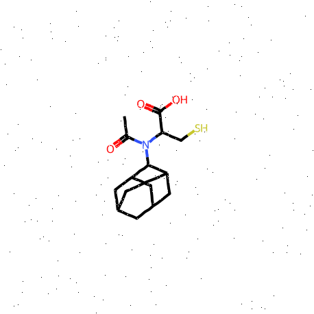 CC(=O)N(C(CS)C(=O)O)C1C2CC3CC(C2)CC1C3